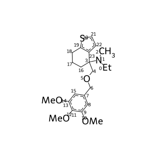 CCN(C)C1(COCc2cc(OC)c(OC)c(OC)c2)CCCc2sccc21